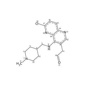 CN1CCC(CNc2c(CC=O)cnc3ccc(Cl)nc23)CC1